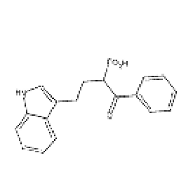 O=C(O)C(CCc1c[nH]c2ccccc12)C(=O)c1ccccc1